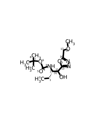 CC[C@H](NC(=O)OC(C)(C)C)C(O)c1nnc(COC)o1